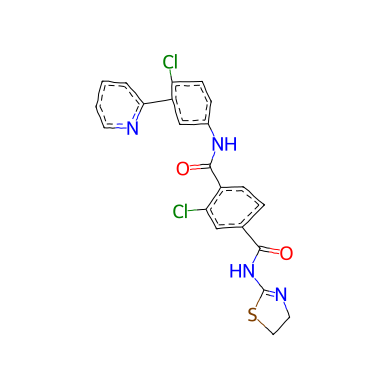 O=C(NC1=NCCS1)c1ccc(C(=O)Nc2ccc(Cl)c(-c3ccccn3)c2)c(Cl)c1